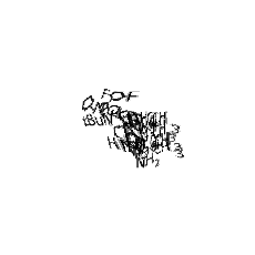 CC(C)(C)[C@H](c1cc(-c2cc(F)ccc2F)cn1Cc1ccccc1)N(C[C@H](CNC(=O)OCC[Si](C)(C)C)CC(=O)NC(CN)C(=O)OCC[Si](C)(C)C)C(=O)CO